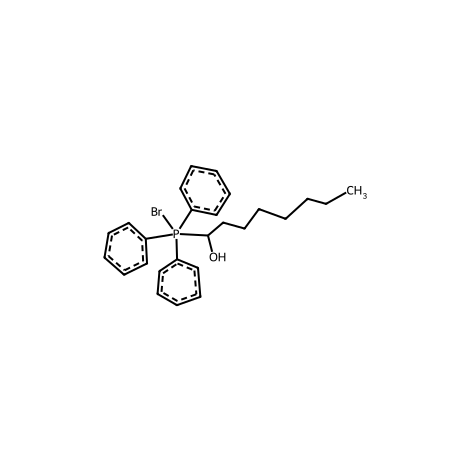 CCCCCCCC(O)P(Br)(c1ccccc1)(c1ccccc1)c1ccccc1